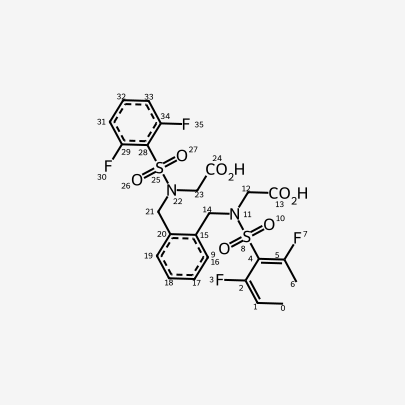 C/C=C(F)\C(=C(/C)F)S(=O)(=O)N(CC(=O)O)Cc1ccccc1CN(CC(=O)O)S(=O)(=O)c1c(F)cccc1F